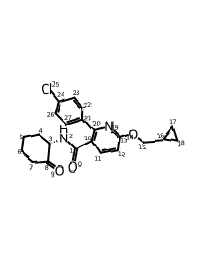 O=C(N[C@H]1CCCCC1=O)c1ccc(OCC2CC2)nc1-c1ccc(Cl)cc1